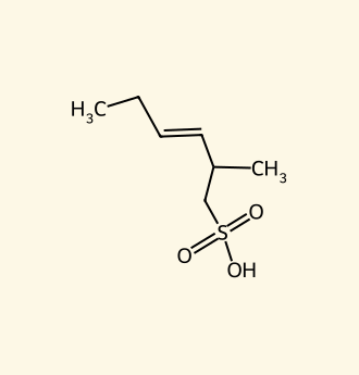 CCC=CC(C)CS(=O)(=O)O